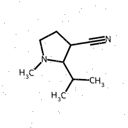 CC(C)C1C(C#N)CCN1C